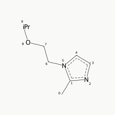 Cc1n[c]cn1CCOC(C)C